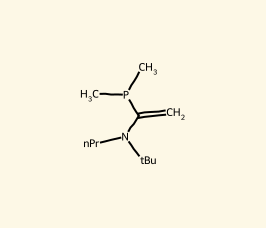 C=C(N(CCC)C(C)(C)C)P(C)C